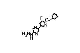 NNc1cnc(-c2cnc(OCc3ccccc3)c(F)c2)cn1